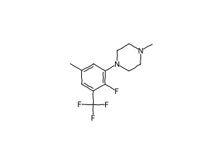 Cc1cc(N2CCN(C)CC2)c(F)c(C(F)(F)F)c1